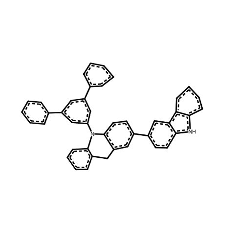 c1ccc(-c2cc(-c3ccccc3)cc(N3c4ccccc4Cc4cc(-c5ccc6[nH]c7ccccc7c6c5)ccc43)c2)cc1